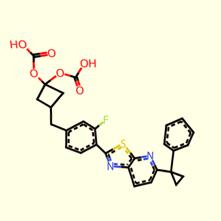 O=C(O)OC1(OC(=O)O)CC(Cc2ccc(-c3nc4ccc(C5(c6ccccc6)CC5)nc4s3)c(F)c2)C1